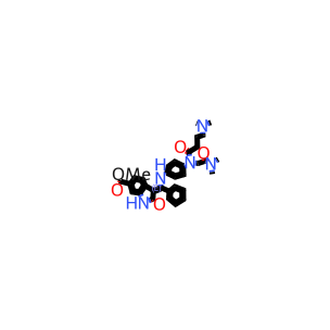 COC(=O)c1ccc2c(c1)NC(=O)/C2=C(/Nc1ccc(N(CC(=O)N(C)C)C(=O)CCCN(C)C)cc1)c1ccccc1